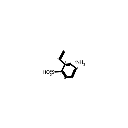 C=Cc1ccccc1S(=O)(=O)O.N